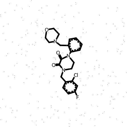 O=C1C(=O)N(c2ccccc2CN2CCOCC2)CCN1Cc1ccc(F)cc1Cl